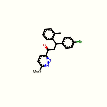 COc1ccc(C(=O)CC(c2ccc(Br)cc2)c2ccccc2C)nn1